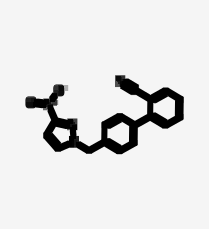 N#Cc1ccccc1-c1ccc(Cn2ccc([N+](=O)[O-])n2)cc1